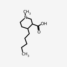 CCCCCC1CCN(C)CC1C(=O)O